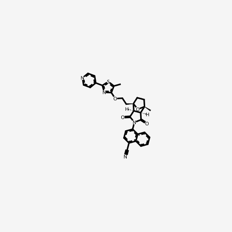 Cc1sc(-c2ccncc2)nc1OCC[C@@]12CC[C@@](C)(O1)[C@H]1C(=O)N(c3ccc(C#N)c4ccccc34)C(=O)[C@H]12